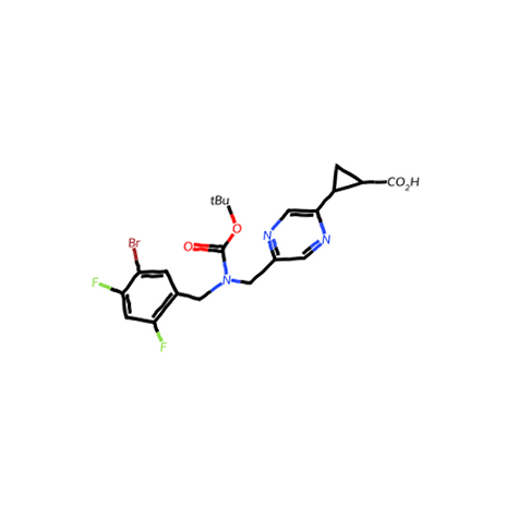 CC(C)(C)OC(=O)N(Cc1cnc(C2CC2C(=O)O)cn1)Cc1cc(Br)c(F)cc1F